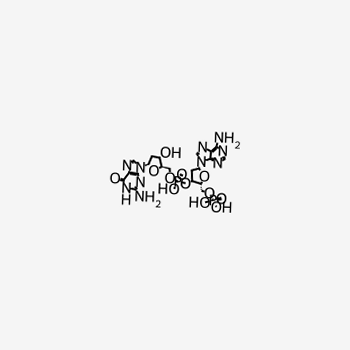 Nc1nc2c(ncn2[C@H]2C[C@H](O)[C@@H](COP(=O)(O)O[C@H]3C[C@H](n4cnc5c(N)ncnc54)O[C@@H]3COP(=O)(O)O)O2)c(=O)[nH]1